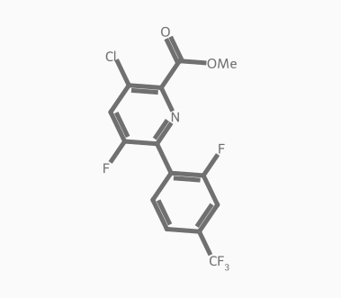 COC(=O)c1nc(-c2ccc(C(F)(F)F)cc2F)c(F)cc1Cl